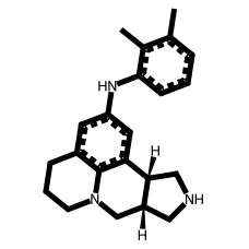 Cc1cccc(Nc2cc3c4c(c2)[C@@H]2CNC[C@@H]2CN4CCC3)c1C